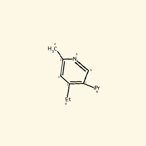 CCc1cc(C)ncc1C(C)C